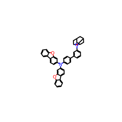 c1cc(-c2ccc(N(c3ccc4c(c3)oc3ccccc34)c3ccc4c(c3)oc3ccccc34)cc2)cc(N2C3CC4CC(C3)CC2C4)c1